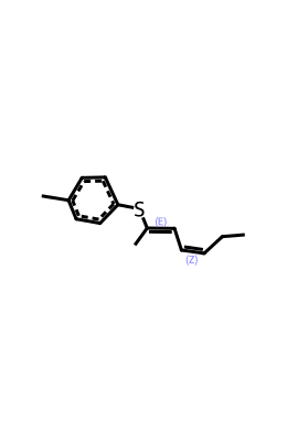 CC/C=C\C=C(/C)Sc1ccc(C)cc1